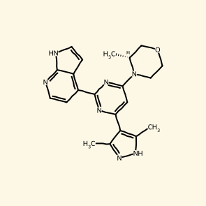 Cc1n[nH]c(C)c1-c1cc(N2CCOC[C@H]2C)nc(-c2ccnc3[nH]ccc23)n1